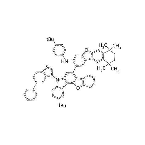 CC(C)(C)c1ccc(Nc2cc3oc4cc5c(cc4c3cc2-c2cc3c(c4cc(C(C)(C)C)ccc4n3-c3csc4ccc(-c6ccccc6)cc34)c3oc4ccccc4c23)C(C)(C)CCC5(C)C)cc1